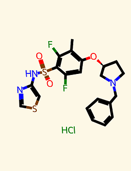 Cc1c(O[C@H]2CCN(Cc3ccccc3)C2)cc(F)c(S(=O)(=O)Nc2cscn2)c1F.Cl